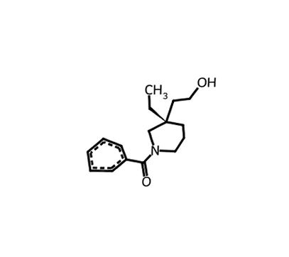 CC[C@@]1(CCO)CCCN(C(=O)c2ccccc2)C1